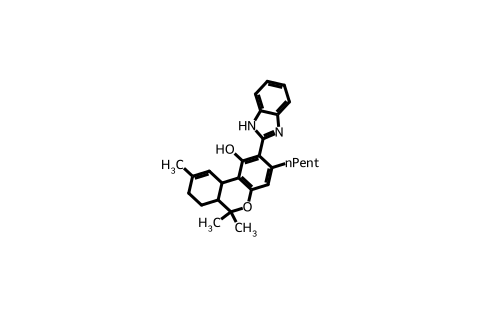 CCCCCc1cc2c(c(O)c1-c1nc3ccccc3[nH]1)C1C=C(C)CCC1C(C)(C)O2